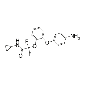 Nc1ccc(Oc2ccccc2OC(F)(F)C(=O)NC2CC2)cc1